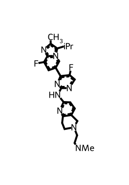 CNCCN1CCc2nc(Nc3ncc(F)c(-c4cc(F)c5nc(C)c(C(C)C)n5c4)n3)ccc2C1